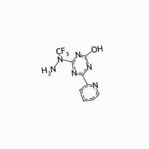 NN(c1nc(O)nc(-c2ccccn2)n1)C(F)(F)F